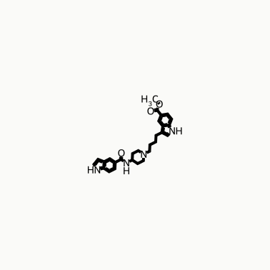 COC(=O)c1ccc2[nH]cc(CCCCN3CCC(NC(=O)c4ccc5[nH]ccc5c4)CC3)c2c1